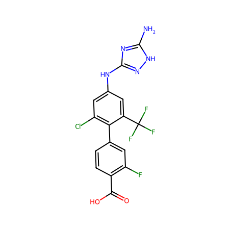 Nc1nc(Nc2cc(Cl)c(-c3ccc(C(=O)O)c(F)c3)c(C(F)(F)F)c2)n[nH]1